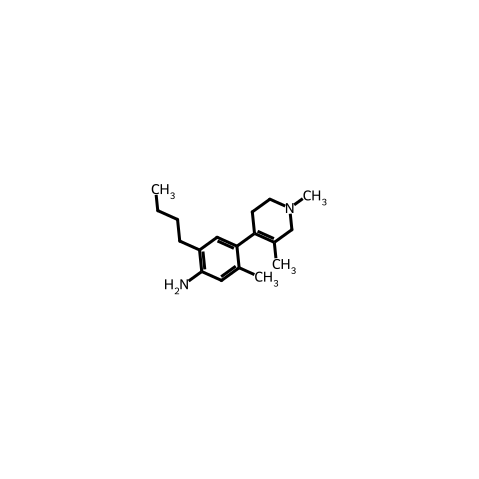 CCCCc1cc(C2=C(C)CN(C)CC2)c(C)cc1N